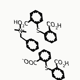 C[N+](C)(C)Cc1ccccc1.O=C(O)c1ccccc1Sc1ccccc1C(=O)O.O=C([O-])c1ccccc1Sc1ccccc1C(=O)O